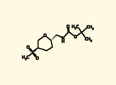 CC(C)(C)OC(=O)NC[C@@H]1CC[C@@H](S(C)(=O)=O)CO1